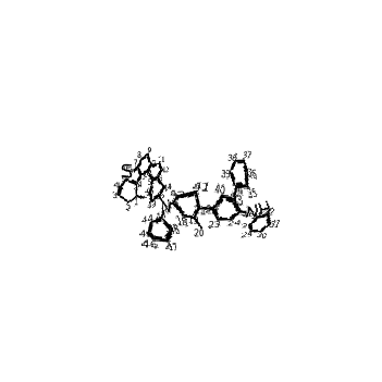 CC1CC=Cc2sc3ccc4ccc5cc(N(C6=CC(C)C(c7ccc(Nc8ccccc8)c(-c8ccccc8)c7)C=C6)c6ccccc6)ccc5c4c3c21